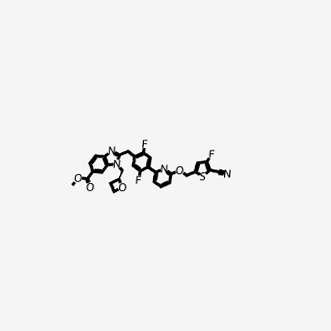 COC(=O)c1ccc2nc(Cc3cc(F)c(-c4cccc(OCc5cc(F)c(C#N)s5)n4)cc3F)n(C[C@@H]3CCO3)c2c1